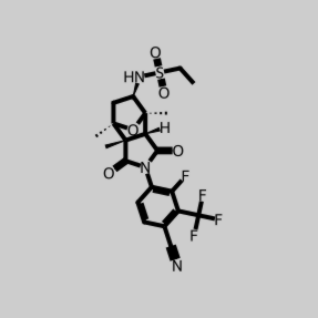 CCS(=O)(=O)N[C@@H]1C[C@@]2(C)O[C@]1(C)[C@@H]1C(=O)N(c3ccc(C#N)c(C(F)(F)F)c3F)C(=O)[C@@]12C